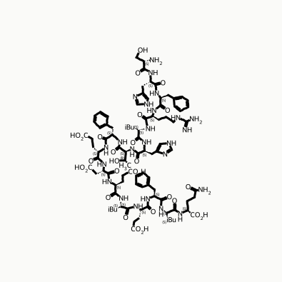 CC[C@H](C)[C@H](NC(=O)[C@H](Cc1ccccc1)NC(=O)[C@H](CCC(=O)O)NC(=O)[C@@H](NC(=O)[C@H](CCC(=O)O)NC(=O)[C@H](CC(=O)O)NC(=O)[C@H](CCC(=O)O)NC(=O)[C@H](Cc1ccccc1)NC(=O)[C@@H](NC(=O)[C@H](Cc1c[nH]cn1)NC(=O)[C@@H](NC(=O)[C@H](CCCNC(=N)N)NC(=O)[C@H](Cc1ccccc1)NC(=O)[C@H](Cc1c[nH]cn1)NC(=O)[C@@H](N)CO)[C@@H](C)CC)[C@@H](C)O)[C@@H](C)CC)C(=O)N[C@@H](CCC(N)=O)C(=O)O